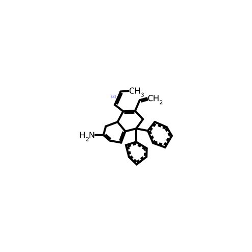 C=CC1=C(/C=C\C)C2CC(N)=CC=C2C(c2ccccc2)(c2ccccc2)C1